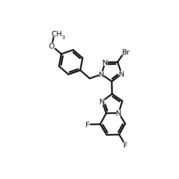 COc1ccc(Cn2nc(Br)nc2-c2cn3cc(F)cc(F)c3n2)cc1